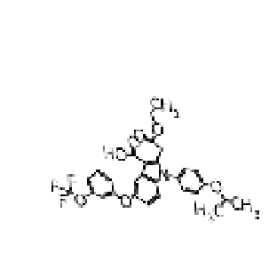 CCOC(=O)Cc1c(C(=O)O)c2cc(Oc3cccc(OC(F)(F)F)c3)ccc2n1-c1ccc(OC(C)C)cc1